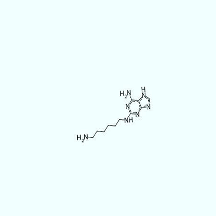 NCCCCCCNc1nc(N)c2[nH]cnc2n1